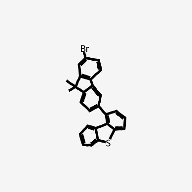 CC1(C)c2ccc(-c3cccc4sc5ccccc5c34)cc2-c2ccc(Br)cc21